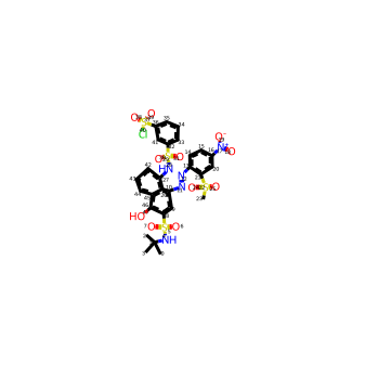 CC(C)(C)NS(=O)(=O)c1cc(N=Nc2ccc([N+](=O)[O-])cc2S(C)(=O)=O)c2c(NS(=O)(=O)c3cccc(S(=O)(=O)Cl)c3)cccc2c1O